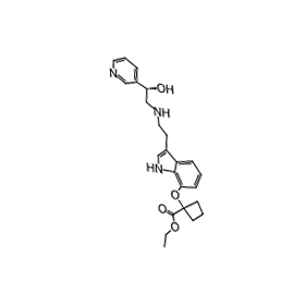 CCOC(=O)C1(Oc2cccc3c(CCNC[C@H](O)c4cccnc4)c[nH]c23)CCC1